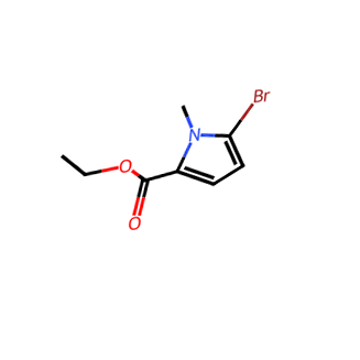 CCOC(=O)c1ccc(Br)n1C